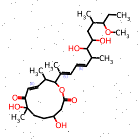 CCC(OC)C(C)CC(O)C(O)C(C)/C=C/C=C(\C)C1OC(=O)CC(O)CCC(C)(O)C(=O)/C=C/C1C